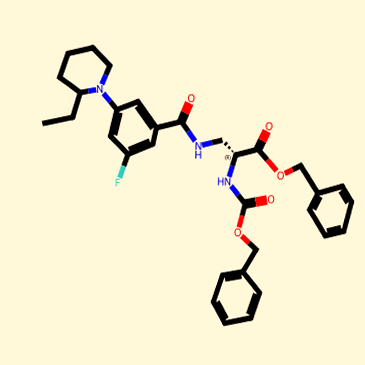 CCC1CCCCN1c1cc(F)cc(C(=O)NC[C@@H](NC(=O)OCc2ccccc2)C(=O)OCc2ccccc2)c1